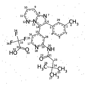 Cc1cccc(-c2nc3cccnn3c2-c2ccnc(NC(=O)CC(C)(C)C)c2)c1.O=C(O)C(F)(F)F